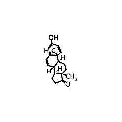 C[C@]12C=CC(O)=CC1C=C[C@@H]1[C@@H]2CC[C@]2(C)C(=O)CC[C@@H]12